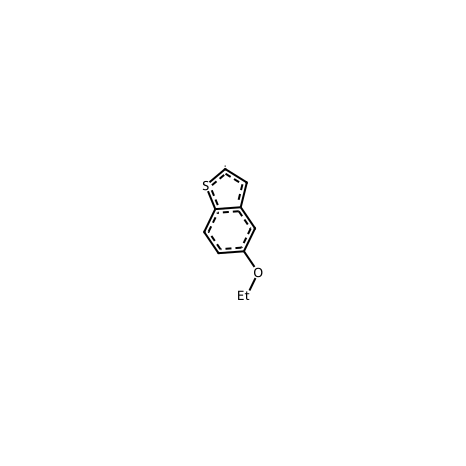 CCOc1ccc2s[c]cc2c1